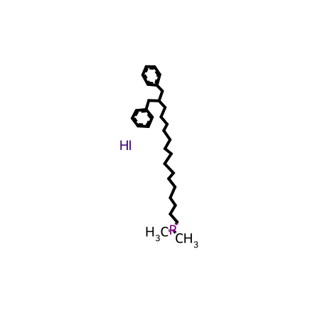 CP(C)CCCCCCCCCCCCCCCC(Cc1ccccc1)Cc1ccccc1.I